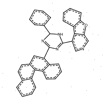 c1ccc(C2N=C(c3cc4ccc5ccccc5c4c4ccccc34)N=C(c3cncc4oc5ccccc5c34)N2)cc1